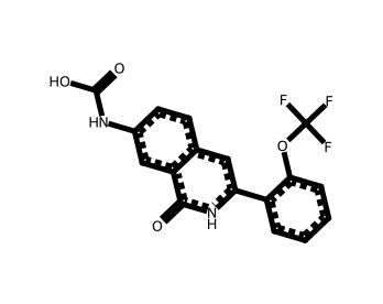 O=C(O)Nc1ccc2cc(-c3ccccc3OC(F)(F)F)[nH]c(=O)c2c1